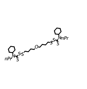 CCCN(C(=S)SSCCCCOCCCCSSC(=S)N(CCC)C1CCCCC1)C1CCCCC1